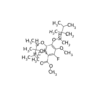 COC(=O)c1c(C)c(O[SiH](C)C(C)(C)C(C)C)c(O[SiH](C)C(C)(C)C(C)C)c(OC)c1F